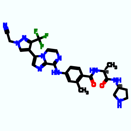 Cc1cc(Nc2nccn3c(-c4cn(CC#N)nc4C(F)(F)F)cnc23)ccc1C(=O)N[C@H](C)C(=O)N[C@@H]1CCNC1